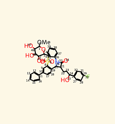 COC1OC(CS(=O)(=O)c2cc(-c3ccccc3)ccc2C2C(CCC(O)c3ccc(F)cc3)C(=O)N2c2ccccc2)C(O)C(O)C1O